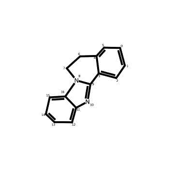 c1ccc2c(c1)CCn1c-2nc2ccccc21